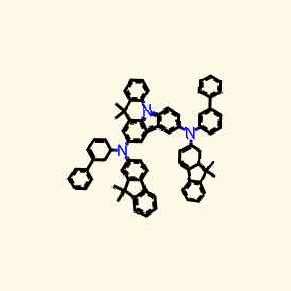 CC1(C)c2ccccc2-c2ccc(N(c3cc4c5c(c3)c3cc(N(C6=CC=C7c8ccccc8C(C)(C)C7C6)c6cccc(-c7ccccc7)c6)ccc3n5-c3ccccc3C4(C)C)C3C=CC=C(c4ccccc4)C3)cc21